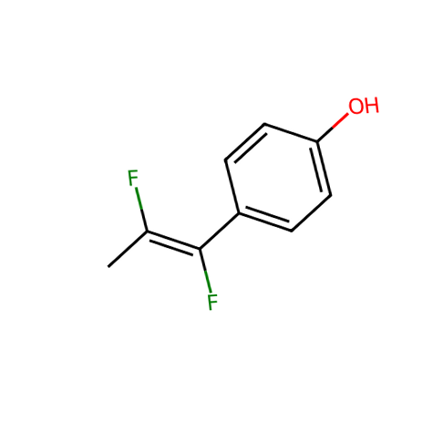 CC(F)=C(F)c1ccc(O)cc1